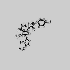 Cc1c(C2CCC(C)N2)sc(NC(=O)Nc2ccc(Cl)cc2)c1C(N)=O